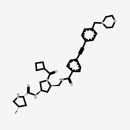 O=C(NC[C@H]1C[C@@H](NC(=O)[C@@H]2C[C@H](F)CN2)CN1C(=O)C1CCC1)c1ccc(C#Cc2ccc(CN3CCOCC3)cc2)cc1